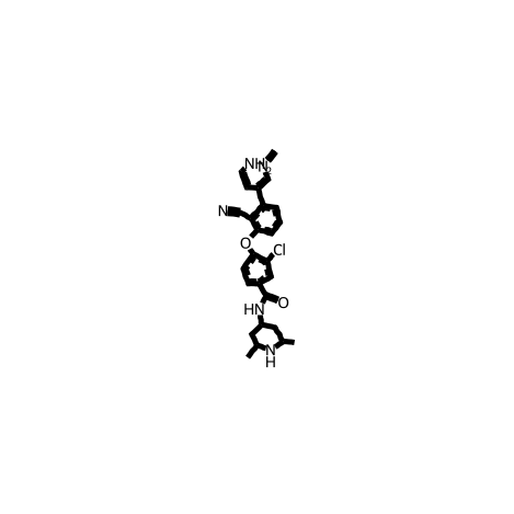 C=N/C=C(\C=C/N)c1cccc(Oc2ccc(C(=O)NC3CC(C)NC(C)C3)cc2Cl)c1C#N